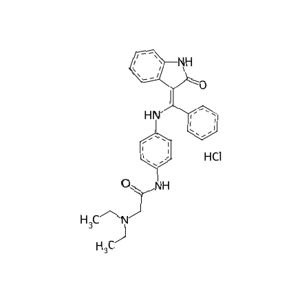 CCN(CC)CC(=O)Nc1ccc(NC(=C2C(=O)Nc3ccccc32)c2ccccc2)cc1.Cl